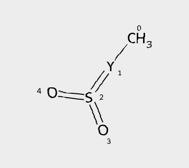 [CH3][Y]=[S](=O)=O